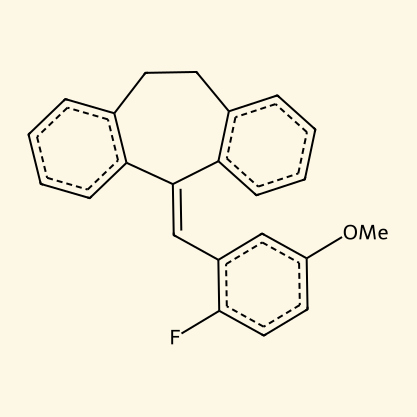 COc1ccc(F)c(C=C2c3ccccc3CCc3ccccc32)c1